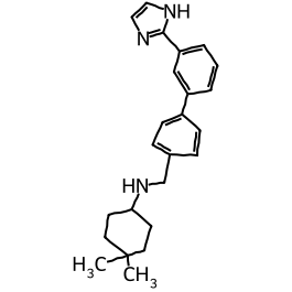 CC1(C)CCC(NCc2ccc(-c3cccc(-c4ncc[nH]4)c3)cc2)CC1